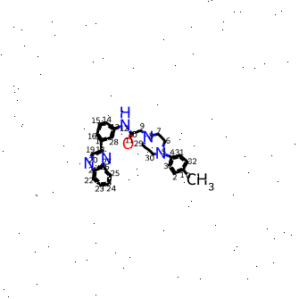 Cc1ccc(N2CCN(CC(=O)Nc3cccc(-c4cnc5ccccc5n4)c3)CC2)cc1